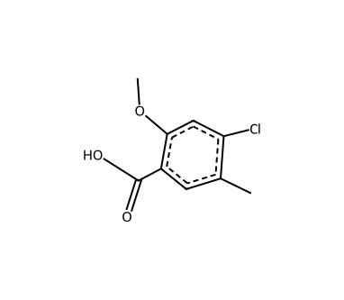 COc1cc(Cl)c(C)cc1C(=O)O